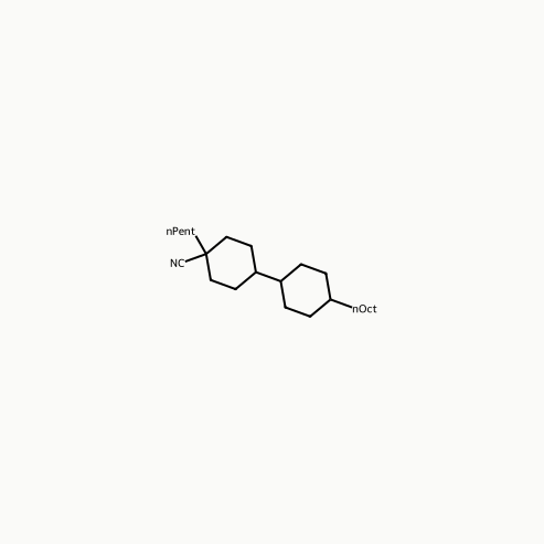 CCCCCCCCC1CCC(C2CCC(C#N)(CCCCC)CC2)CC1